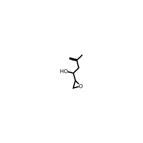 C=C(C)CC(O)C1CO1